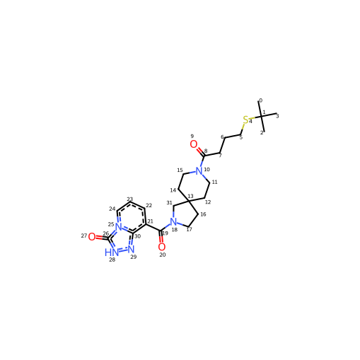 CC(C)(C)SCCCC(=O)N1CCC2(CC1)CCN(C(=O)c1cccn3c(=O)[nH]nc13)C2